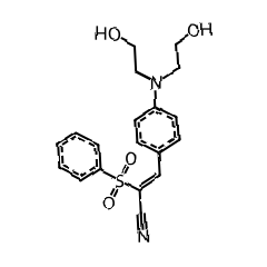 N#CC(=Cc1ccc(N(CCO)CCO)cc1)S(=O)(=O)c1ccccc1